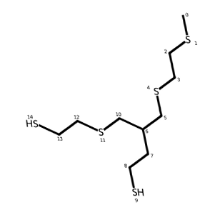 CSCCSCC(CCS)CSCCS